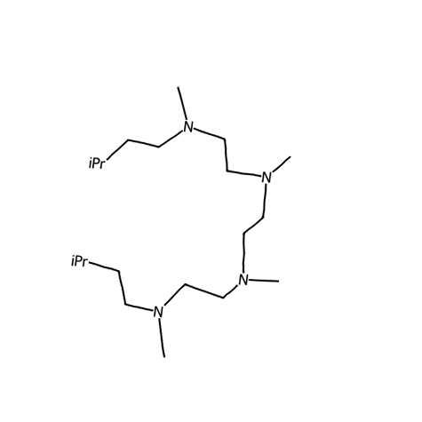 CC(C)CCN(C)CCN(C)CCN(C)CCN(C)CCC(C)C